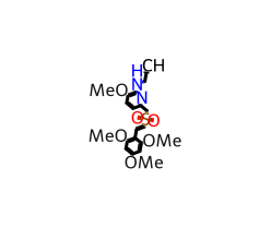 C#CCNc1nc(CS(=O)(=O)C=Cc2c(OC)cc(OC)cc2OC)ccc1OC